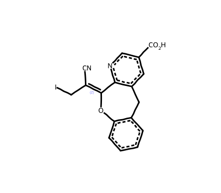 N#C/C(CI)=C1/Oc2ccccc2Cc2cc(C(=O)O)cnc21